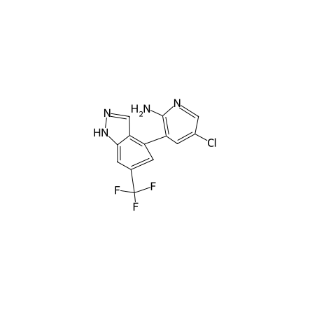 Nc1ncc(Cl)cc1-c1cc(C(F)(F)F)cc2[nH]ncc12